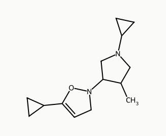 CC1CN(C2CC2)CC1N1CC=C(C2CC2)O1